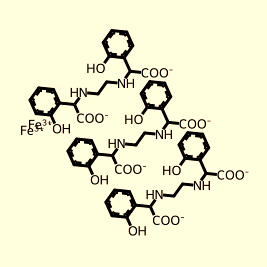 O=C([O-])C(NCCNC(C(=O)[O-])c1ccccc1O)c1ccccc1O.O=C([O-])C(NCCNC(C(=O)[O-])c1ccccc1O)c1ccccc1O.O=C([O-])C(NCCNC(C(=O)[O-])c1ccccc1O)c1ccccc1O.[Fe+3].[Fe+3]